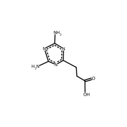 Nc1nc(N)nc(CCC(=O)O)n1